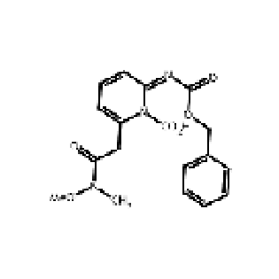 CON(C)C(=O)Cc1cccc(=NC(=O)OCc2ccccc2)n1C(=O)O